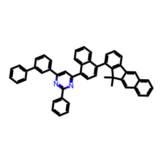 CC1(C)c2cc3ccccc3cc2-c2cccc(-c3ccc(-c4cc(-c5cccc(-c6ccccc6)c5)nc(-c5ccccc5)n4)c4ccccc34)c21